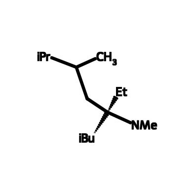 CC[C@@H](C)[C@@](CC)(CC(C)C(C)C)NC